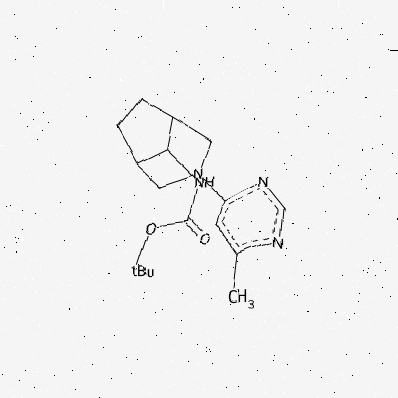 Cc1cc(N2CC3CCC(C2)C3NC(=O)OC(C)(C)C)ncn1